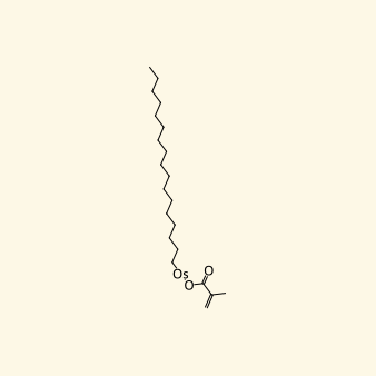 C=C(C)C(=O)[O][Os][CH2]CCCCCCCCCCCCCCCC